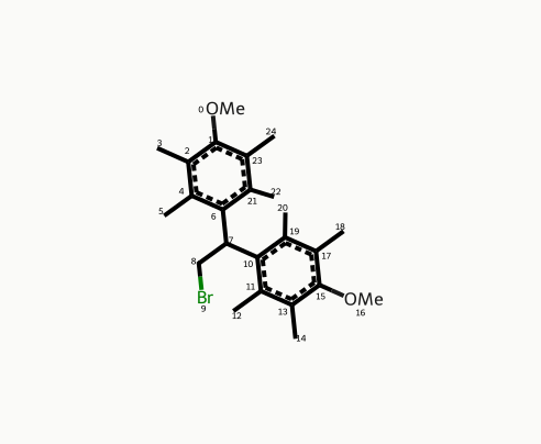 COc1c(C)c(C)c(C(CBr)c2c(C)c(C)c(OC)c(C)c2C)c(C)c1C